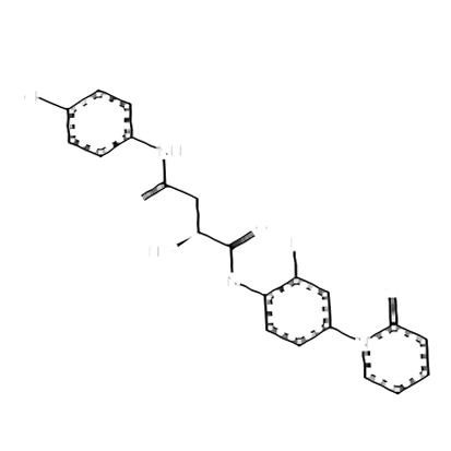 O=C(C[C@H](O)C(=O)Nc1ccc(-n2ccccc2=O)cc1F)Nc1ccc(Cl)cc1